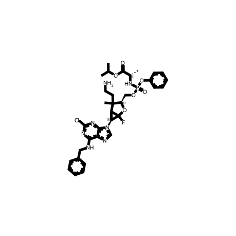 CC(C)OC(=O)[C@H](C)NP(=O)(OC[C@H]1OC2(F)C([C@@H]2n2cnc3c(NCc4ccccc4)nc(Cl)nc32)C1(C)CCN)Oc1ccccc1